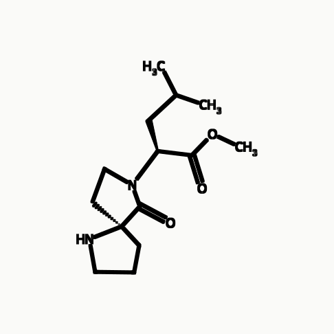 COC(=O)[C@H](CC(C)C)N1CC[C@@]2(CCCN2)C1=O